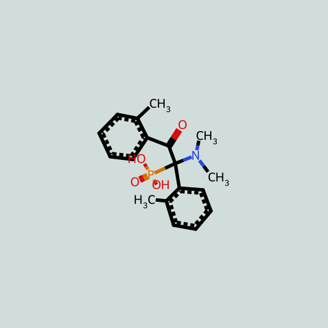 Cc1ccccc1C(=O)C(c1ccccc1C)(N(C)C)P(=O)(O)O